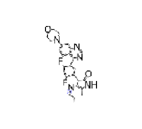 C=C/C=N\C1=C(C)NC(=O)C1c1cc(-c2ncnc3cc(N4CCOCC4)ccc23)c(F)cc1F